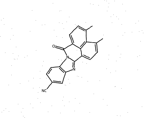 Cc1ccc2c(=O)n3c4ccc(C#N)cc4nc3c3ccc(C)c1c23